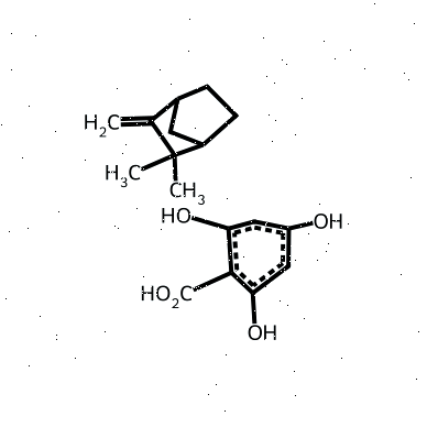 C=C1C2CCC(C2)C1(C)C.O=C(O)c1c(O)cc(O)cc1O